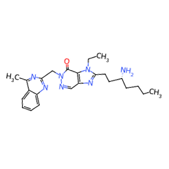 CCCC[C@@H](N)CCc1nc2cnn(Cc3nc(C)c4ccccc4n3)c(=O)c2n1CC